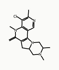 C=C1C2=C(c3cnc(C)c(Cl)c3N1C)N1CC(C)N(C)CC1C2